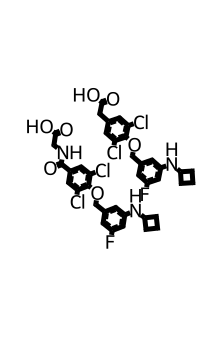 O=C(O)CNC(=O)c1cc(Cl)c(OCc2cc(F)cc(NC3CCC3)c2)c(Cl)c1.O=C(O)Cc1cc(Cl)c(OCc2cc(F)cc(NC3CCC3)c2)c(Cl)c1